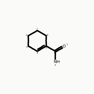 [NH]C(=O)C1=CCCCC1